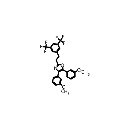 COc1cccc(-c2nc(CCc3cc(C(F)(F)F)cc(C(F)(F)F)c3)oc2-c2cccc(OC)c2)c1